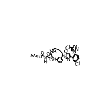 COC(=O)NCC[C@H]1Nc2cccc(c2)[C@@H](n2cnc(-c3cc(Cl)ccc3-n3cc(Cl)nn3)cc2=O)CCCCCNC1=O